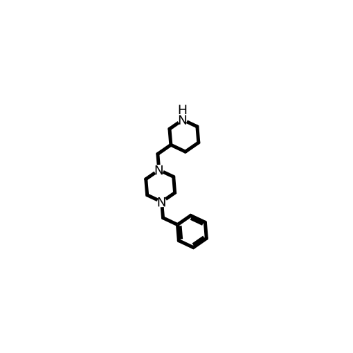 c1ccc(CN2CCN(CC3CCCNC3)CC2)cc1